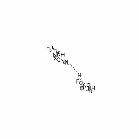 Cc1c([C@@H](C)Nc2nnc(C)c3ccc(N4CCN(CCCCCCCCCN5CCC(c6cc7c(cc6F)C(=O)N(C6CCC(=O)NC6=O)C7)CC5)CC4)cc23)cccc1C(F)(F)F